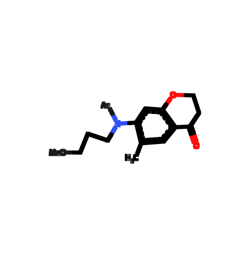 COCCCN(C(C)=O)c1cc2c(cc1C)C(=O)CCO2